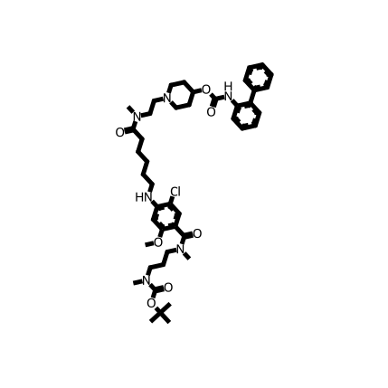 COc1cc(NCCCCCC(=O)N(C)CCN2CCC(OC(=O)Nc3ccccc3-c3ccccc3)CC2)c(Cl)cc1C(=O)N(C)CCCN(C)C(=O)OC(C)(C)C